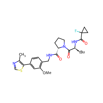 COc1cc(-c2scnc2C)ccc1CNC(=O)[C@@H]1CCCN1C(=O)[C@@H](NC(=O)C1(F)CC1)C(C)(C)C